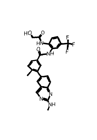 CNc1ncc2cc(-c3cc(C(=O)Nc4cc(C(F)(F)F)ccc4NC(=O)CO)ccc3C)ccc2n1